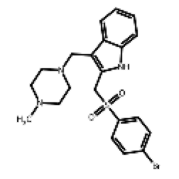 CN1CCN(Cc2c(CS(=O)(=O)c3ccc(Br)cc3)[nH]c3ccccc23)CC1